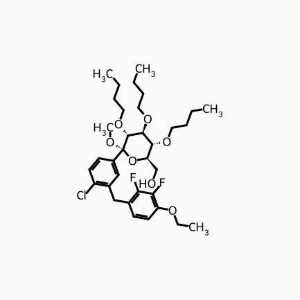 CCCCO[C@H]1[C@H](OCCCC)[C@@H](CO)O[C@@](OC)(c2ccc(Cl)c(Cc3ccc(OCC)c(F)c3F)c2)[C@@H]1OCCCC